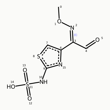 CO/N=C(/[C]=O)c1csc(NS(=O)(=O)O)n1